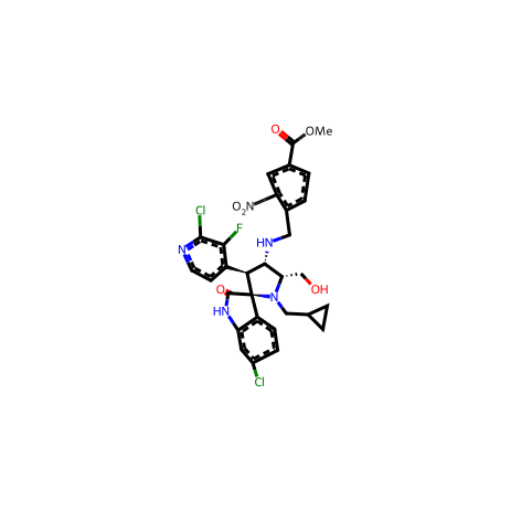 COC(=O)c1ccc(CN[C@@H]2[C@H](CO)N(CC3CC3)[C@@]3(C(=O)Nc4cc(Cl)ccc43)[C@H]2c2ccnc(Cl)c2F)c([N+](=O)[O-])c1